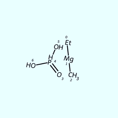 C[CH2][Mg][CH3].O=[PH](O)O